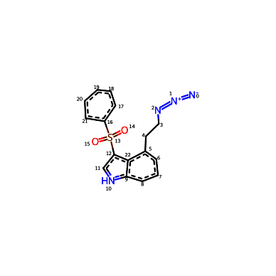 [N-]=[N+]=NCCc1cccc2[nH]cc(S(=O)(=O)c3ccccc3)c12